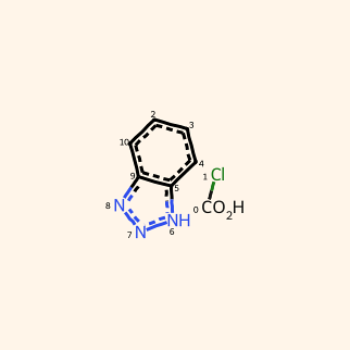 O=C(O)Cl.c1ccc2[nH]nnc2c1